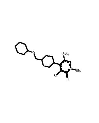 CSc1nn(C(C)(C)C)c(=O)c(Cl)c1C1CCC(COC2CCCCC2)CC1